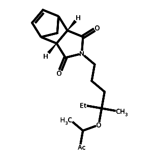 CCC(C)(CCCN1C(=O)[C@@H]2C3C=CC(C3)[C@@H]2C1=O)OC(C)C(C)=O